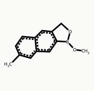 COB1OCc2cc3ccc(C)cc3cc21